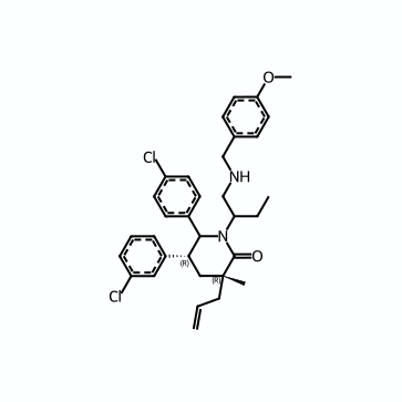 C=CC[C@]1(C)C[C@H](c2cccc(Cl)c2)C(c2ccc(Cl)cc2)N(C(CC)CNCc2ccc(OC)cc2)C1=O